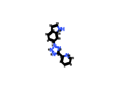 c1ccc(-c2nnn(-c3ccc4cc[nH]c4c3)n2)nc1